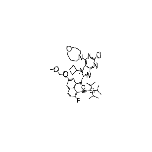 COCOc1cc(C(=O)c2nc3nc(Cl)nc(N4CCCOCC4)c3n2C2CCC2)c2c(C#C[Si](C(C)C)(C(C)C)C(C)C)c(F)ccc2c1